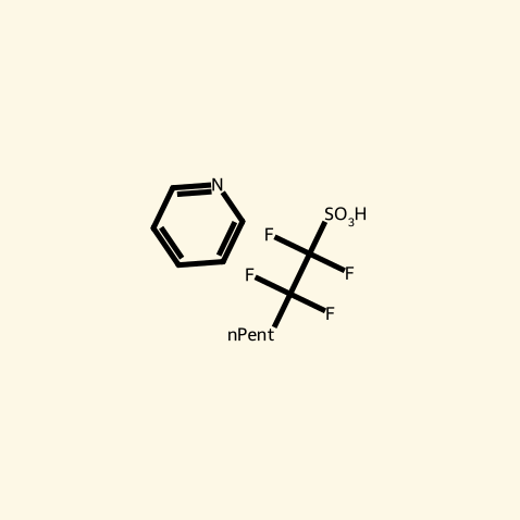 CCCCCC(F)(F)C(F)(F)S(=O)(=O)O.c1ccncc1